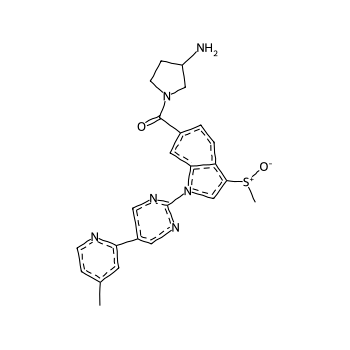 Cc1ccnc(-c2cnc(-n3cc([S+](C)[O-])c4ccc(C(=O)N5CCC(N)C5)cc43)nc2)c1